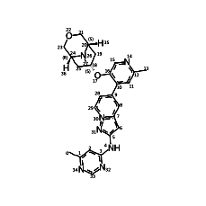 Cc1cc(Nc2cc3cc(-c4cc(C)ncc4O[C@H]4C[C@H]5COC[C@@H](C4)N5C)ccn3n2)ncn1